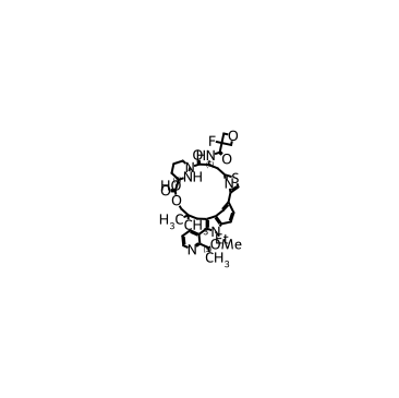 CCn1c(-c2cccnc2[C@H](C)OC)c2c3cc(ccc31)-c1csc(n1)C[C@H](NC(=O)C1(F)COC1)C(=O)N1CCC[C@@](O)(N1)C(=O)OCC(C)(C)C2